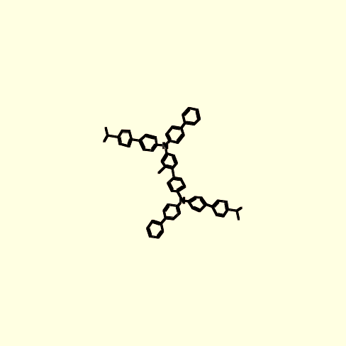 Cc1cc(N(c2ccc(-c3ccccc3)cc2)c2ccc(-c3ccc(C(C)C)cc3)cc2)ccc1-c1ccc(N(c2ccc(-c3ccccc3)cc2)c2ccc(-c3ccc(C(C)C)cc3)cc2)cc1